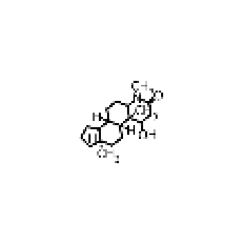 CN1C(=O)CC(O)[C@@]2(C)C1CC[C@@H]1[C@H]2CC[C@]2(C)CCC[C@@H]12